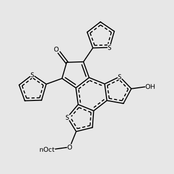 CCCCCCCCOc1cc2c(s1)c1c(c3sc(O)cc32)=C(c2cccs2)C(=O)C=1c1cccs1